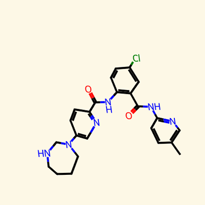 Cc1ccc(NC(=O)c2cc(Cl)ccc2NC(=O)c2ccc(N3CCCCNC3)cn2)nc1